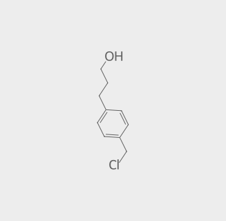 OCCCc1ccc(CCl)cc1